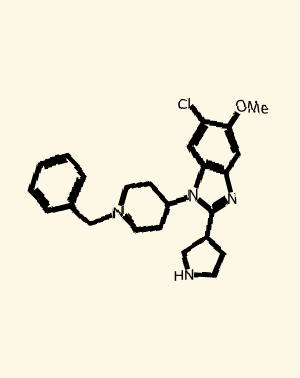 COc1cc2nc(C3CCNC3)n(C3CCN(Cc4ccccc4)CC3)c2cc1Cl